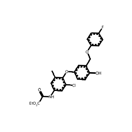 CCOC(=O)C(=O)Nc1cc(C)c(Oc2ccc(O)c(COc3ccc(F)cc3)c2)c(Cl)c1